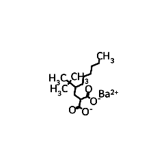 CCCCCCC(CC(C(=O)[O-])C(=O)[O-])C(C)(C)C.[Ba+2]